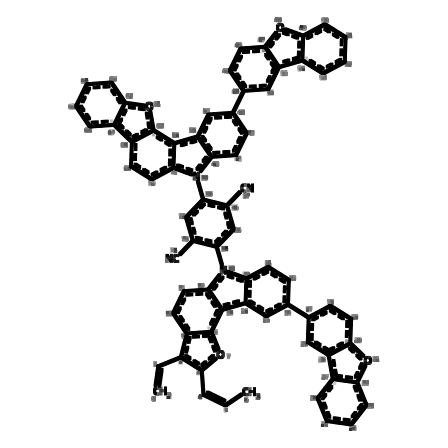 C=Cc1c(/C=C\C)oc2c1ccc1c2c2cc(-c3ccc4oc5ccccc5c4c3)ccc2n1-c1cc(C#N)c(-n2c3ccc(-c4ccc5oc6ccccc6c5c4)cc3c3c4oc5ccccc5c4ccc32)cc1C#N